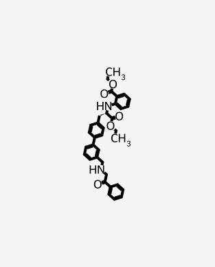 CCOC(=O)c1ccccc1N[C@@H](Cc1ccc(-c2cccc(CNCC(=O)c3ccccc3)c2)cc1)C(=O)OCC